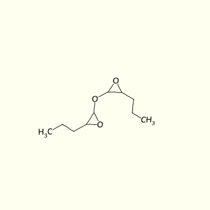 CCCC1OC1OC1OC1CCC